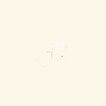 O=C1CN=NC12CCCC2